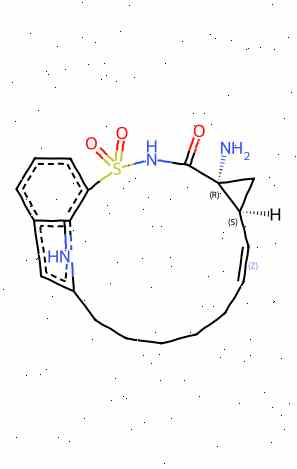 N[C@]12C[C@H]1/C=C\CCCCCc1cc3cccc(c3[nH]1)S(=O)(=O)NC2=O